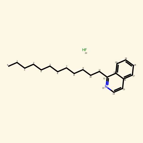 CCCCCCCCCCCCc1nccc2ccccc12.F